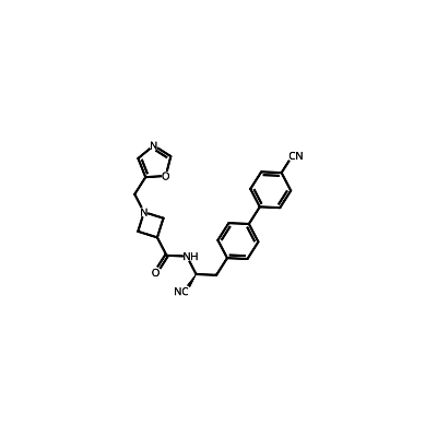 N#Cc1ccc(-c2ccc(C[C@@H](C#N)NC(=O)C3CN(Cc4cnco4)C3)cc2)cc1